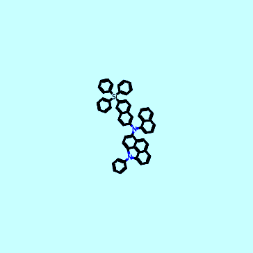 c1ccc(-n2c3cccc4ccc5c(N(c6ccc7cc([Si](c8ccccc8)(c8ccccc8)c8ccccc8)ccc7c6)c6cccc7ccccc67)ccc2c5c43)cc1